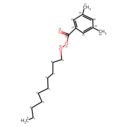 [CH2]CCCCCCCCCOOC(=O)c1cc(C)cc(C)c1